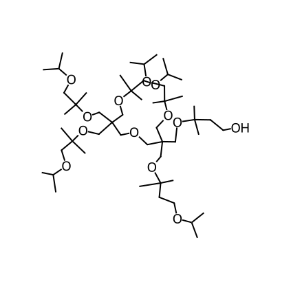 CC(C)OCCC(C)(C)OCC(COCC(COC(C)(C)COC(C)C)(COC(C)(C)COC(C)C)COC(C)(C)COC(C)C)(COC(C)(C)CCO)COC(C)(C)COC(C)C